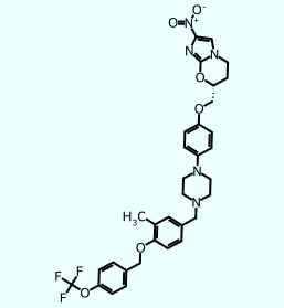 Cc1cc(CN2CCN(c3ccc(OC[C@H]4CCn5cc([N+](=O)[O-])nc5O4)cc3)CC2)ccc1OCc1ccc(OC(F)(F)F)cc1